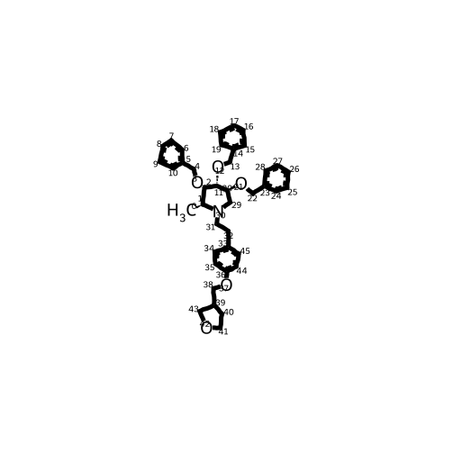 C[C@@H]1[C@@H](OCc2ccccc2)[C@H](OCc2ccccc2)[C@@H](OCc2ccccc2)CN1CCc1ccc(OCC2CCOC2)cc1